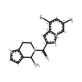 CC1c2ccsc2CCN1C(=O)c1cc2c(Br)cc(Br)cn2n1